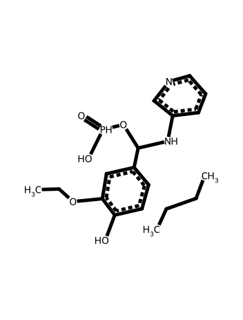 CCCC.CCOc1cc(C(Nc2cccnc2)O[PH](=O)O)ccc1O